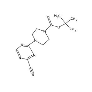 CC(C)(C)OC(=O)N1CCN(c2ncnc(C#N)n2)CC1